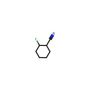 N#CC1CCCCC1F